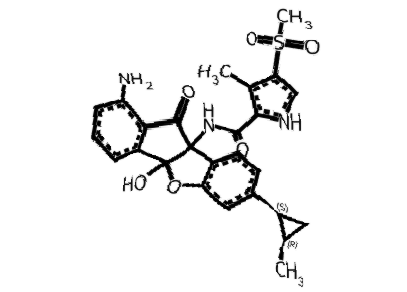 Cc1c(S(C)(=O)=O)c[nH]c1C(=O)NC12C(=O)c3c(N)cccc3C1(O)Oc1cc([C@H]3C[C@H]3C)ccc12